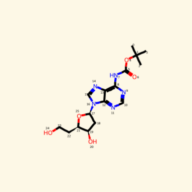 CC(C)(C)OC(=O)Nc1ncnc2c1ncn2[C@H]1C[C@@H](O)[C@@H](CCO)O1